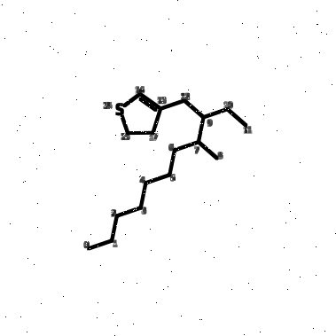 CCCCCCCC(C)C(CC)CC1=CSCC1